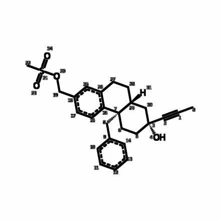 CC#C[C@@]1(O)CC[C@@]2(Cc3ccccc3)c3ccc(COS(C)(=O)=O)cc3CC[C@@H]2C1